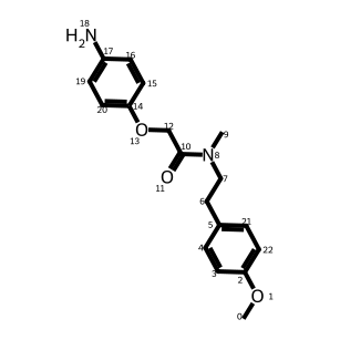 COc1ccc(CCN(C)C(=O)COc2ccc(N)cc2)cc1